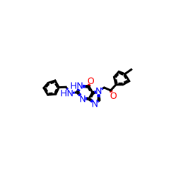 Cc1ccc(C(=O)Cn2cnc3nc(NCc4ccccc4)[nH]c(=O)c32)cc1